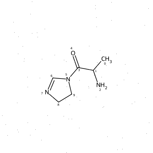 CC(N)C(=O)N1C=NCC1